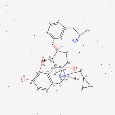 CC(N)Cc1ccccc1.O=C1CC[C@@]2(O)[C@H]3Cc4ccc(O)c5c4[C@@]2(CCN3CC2CC2)[C@H]1O5